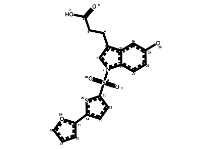 O=C(O)CCc1cn(S(=O)(=O)c2ccc(-c3ccco3)s2)c2ccc(Cl)cc12